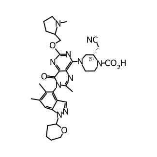 Cc1cc2c(cnn2C2CCCCO2)c(-n2c(C)nc3c(N4CCN(C(=O)O)[C@@H](CC#N)C4)nc(OCC4CCCN4C)nc3c2=O)c1C